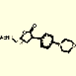 CC(=O)NC[C@H]1CC(c2ccc(N3CCOCC3)cc2)C(=O)O1